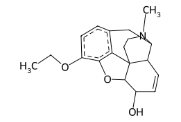 CCOc1ccc2c3c1OC1C(O)C=CC4C(C2)N(C)CCC341